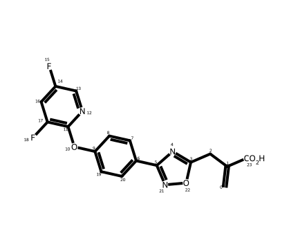 C=C(Cc1nc(-c2ccc(Oc3ncc(F)cc3F)cc2)no1)C(=O)O